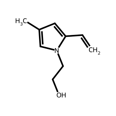 C=Cc1cc(C)cn1CCO